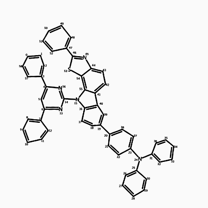 c1ccc(-c2cc(-c3ccccc3)nc(-n3c4ccc(-c5ccc(N(c6ccccc6)c6ccccc6)cc5)cc4c4ccc5nc(-c6ccccc6)sc5c43)n2)cc1